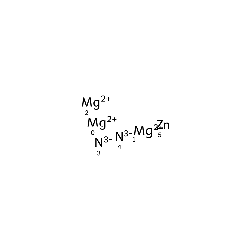 [Mg+2].[Mg+2].[Mg+2].[N-3].[N-3].[Zn]